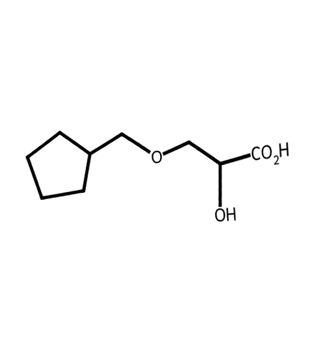 O=C(O)C(O)COCC1CCCC1